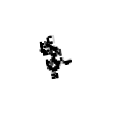 CCSc1cc(Br)cnc1-c1ncc2c(Cl)nccn12